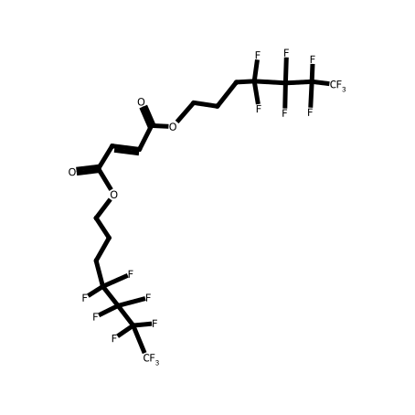 O=C(C=CC(=O)OCCCC(F)(F)C(F)(F)C(F)(F)C(F)(F)F)OCCCC(F)(F)C(F)(F)C(F)(F)C(F)(F)F